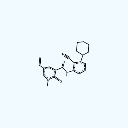 C=Cc1cc(C(=O)Nc2cccc(C3CCCCC3)c2C#N)c(=O)n(C)c1